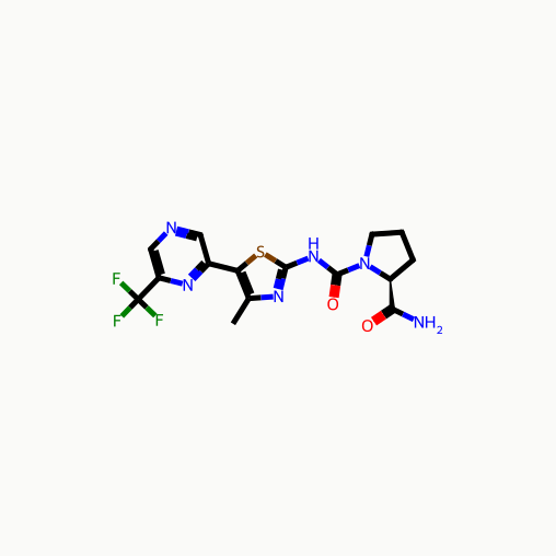 Cc1nc(NC(=O)N2CCC[C@H]2C(N)=O)sc1-c1cncc(C(F)(F)F)n1